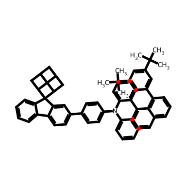 CC(C)(C)c1cc(-c2cccc3cccc(-c4ccccc4N(c4ccccc4)c4ccc(-c5ccc6c(c5)C5(c7ccccc7-6)C6CC7CC8CC5C786)cc4)c23)cc(C(C)(C)C)c1